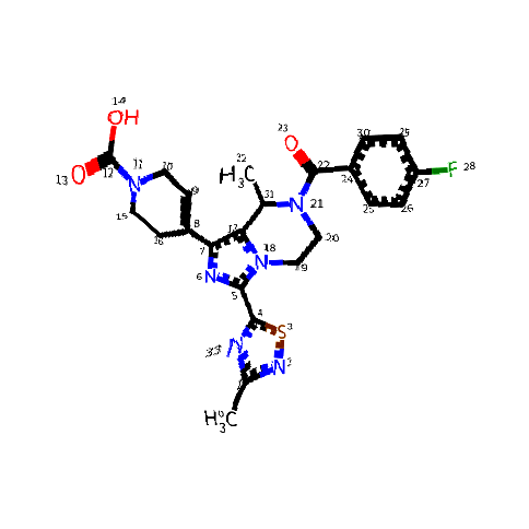 Cc1nsc(-c2nc(C3=CCN(C(=O)O)CC3)c3n2CCN(C(=O)c2ccc(F)cc2)C3C)n1